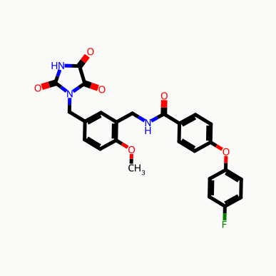 COc1ccc(CN2C(=O)NC(=O)C2=O)cc1CNC(=O)c1ccc(Oc2ccc(F)cc2)cc1